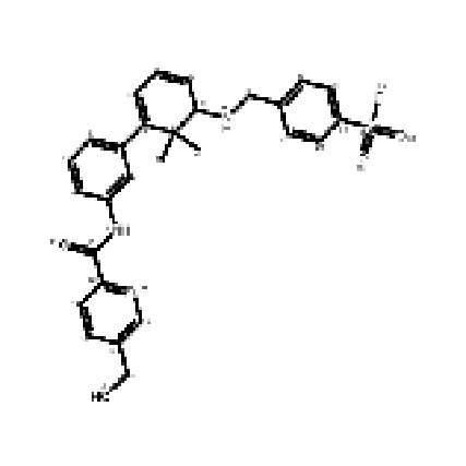 CC1(C)C(c2cccc(NC(=O)c3ccc(CO)cn3)c2)=CC=CC1NCc1ccc(S(=O)(=O)F)cc1